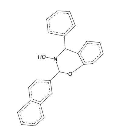 ON1C(c2ccc3ccccc3c2)Oc2ccccc2C1c1ccccc1